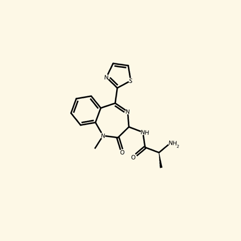 C[C@H](N)C(=O)NC1N=C(c2nccs2)c2ccccc2N(C)C1=O